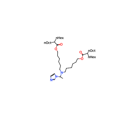 CCCCCCCCC(CCCCCC)C(=O)OCCCCCCN(CCCCCCOC(=O)C(CCCCCC)CCCCCCCC)C(C)n1ccnc1